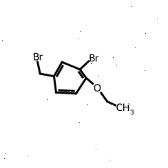 CCOc1ccc(CBr)cc1Br